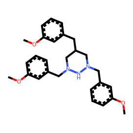 COc1cccc(CC2CN(Cc3cccc(OC)c3)NN(Cc3cccc(OC)c3)C2)c1